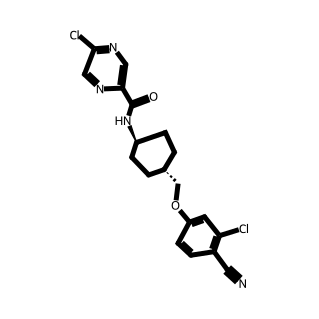 N#Cc1ccc(OC[C@H]2CC[C@H](NC(=O)c3cnc(Cl)cn3)CC2)cc1Cl